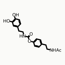 CC(=O)NCCc1ccc(OC(=O)NCCc2ccc(O)c(O)c2)cc1